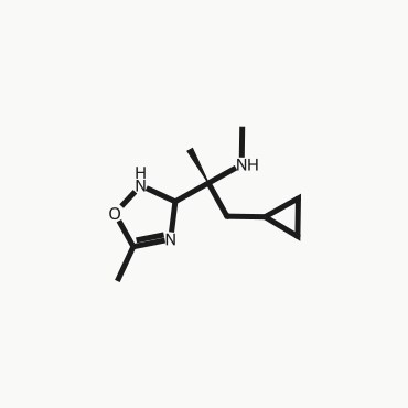 CN[C@](C)(CC1CC1)C1N=C(C)ON1